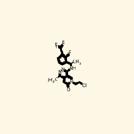 Cc1nnc(N[C@H](C)c2cccc(C(F)F)c2F)c2cn(CCCl)c(=O)cc12